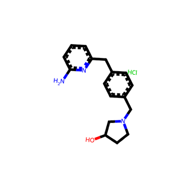 Cl.Nc1cccc(Cc2ccc(CN3CCC(O)C3)cc2)n1